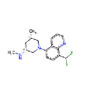 CN[C@@H]1C[C@H](C)CN(c2ccc(C(F)F)c3ncccc23)C1